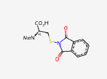 CN[C@H](CSN1C(=O)c2ccccc2C1=O)C(=O)O